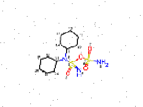 N=S(=O)(OS(N)(=O)=O)N(C1CCCCC1)C1CCCCC1